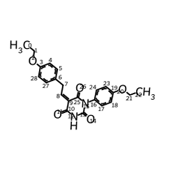 CCOc1ccc(C/C=C2/C(=O)NC(=O)N(c3ccc(OCC)cc3)C2=O)cc1